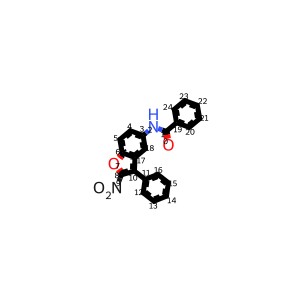 O=C(Nc1ccc2oc([N+](=O)[O-])c(-c3ccccc3)c2c1)c1ccccc1